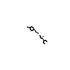 C#Cc1ccc(C=CC(=O)Nc2[nH]nc(-c3ccncc3)c2C)cc1